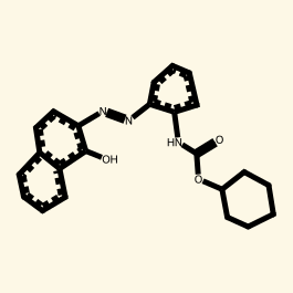 O=C(Nc1ccccc1N=Nc1ccc2ccccc2c1O)OC1CCCCC1